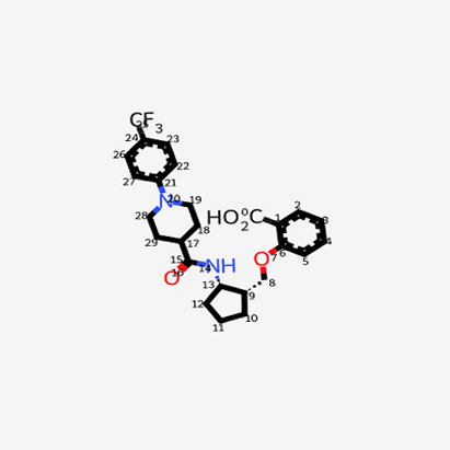 O=C(O)c1ccccc1OC[C@@H]1CCC[C@@H]1NC(=O)C1CCN(c2ccc(C(F)(F)F)cc2)CC1